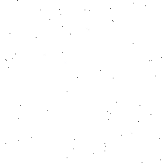 COC(=O)CCCCC1=CC(=O)O/C1=C\[Si](C(C)C)(C(C)C)C(C)C